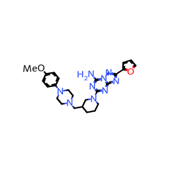 COc1ccc(N2CCN(CC3CCCN(c4nc(N)n5nc(-c6ccco6)nc5n4)C3)CC2)cc1